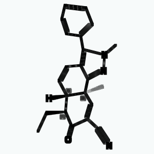 CC[C@@H]1C(=O)C(C#N)=C[C@]2(C)c3nn(C)c(-c4ccccc4)c3C=C[C@@H]12